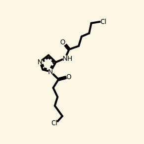 O=C(CCCCCl)Nc1cncn1C(=O)CCCCCl